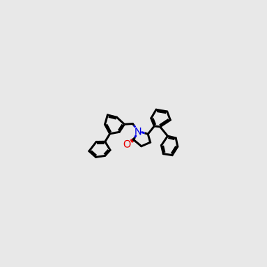 O=C1CCC(c2ccccc2-c2ccccc2)N1Cc1cccc(-c2ccccc2)c1